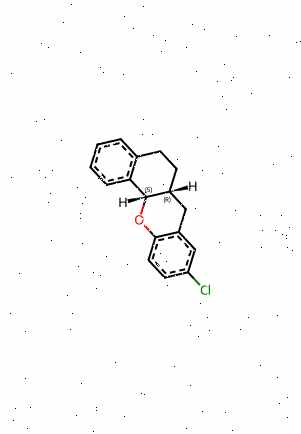 Clc1ccc2c(c1)C[C@H]1CCc3ccccc3[C@H]1O2